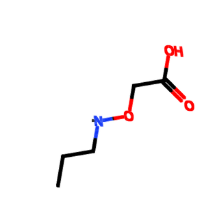 CCC[N]OCC(=O)O